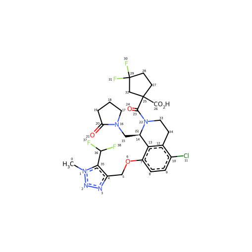 Cn1nnc(COc2ccc(Cl)c3c2[C@@H](CN2CCCC2=O)N(C(=O)C2(C(=O)O)CCC(F)(F)C2)CC3)c1C(F)F